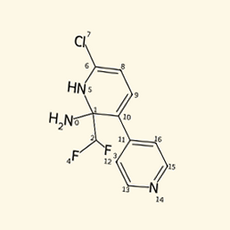 NC1(C(F)F)NC(Cl)=CC=C1c1ccncc1